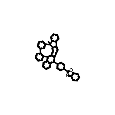 CC12c3cccc(c3)-c3ccccc3-c3c4ccccc4c(-c4ccc(-c5nc6ccccc6o5)cc4)c4cc(c1cc34)-c1ccccc12